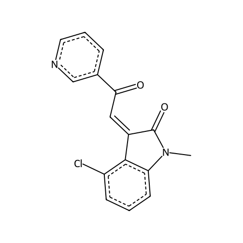 CN1C(=O)C(=CC(=O)c2cccnc2)c2c(Cl)cccc21